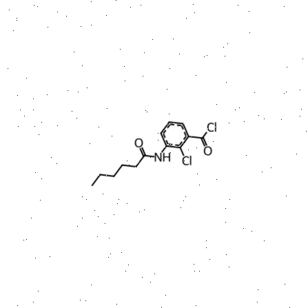 CCCCCC(=O)Nc1cccc(C(=O)Cl)c1Cl